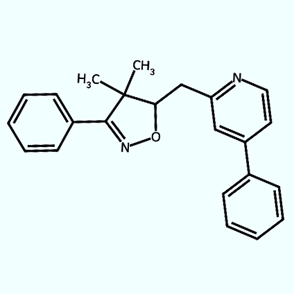 CC1(C)C(c2ccccc2)=NOC1Cc1cc(-c2ccccc2)ccn1